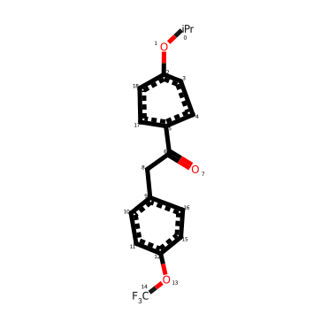 CC(C)Oc1ccc(C(=O)Cc2ccc(OC(F)(F)F)cc2)cc1